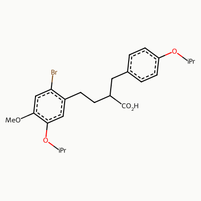 COc1cc(Br)c(CCC(Cc2ccc(OC(C)C)cc2)C(=O)O)cc1OC(C)C